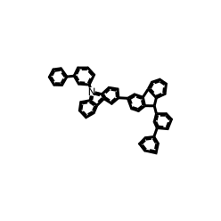 c1ccc(-c2cccc(C3c4ccccc4-c4cc(-c5ccc6c(c5)c5ccccc5n6-c5cccc(-c6ccccc6)c5)ccc43)c2)cc1